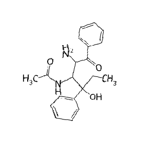 CCC(O)(c1ccccc1)C(NC(C)=O)C(N)C(=O)c1ccccc1